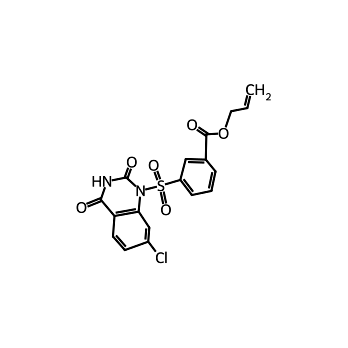 C=CCOC(=O)c1cccc(S(=O)(=O)n2c(=O)[nH]c(=O)c3ccc(Cl)cc32)c1